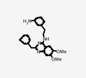 COc1cc2nc(Cc3ccccc3)nc(NCCc3cccc(N)c3)c2cc1OC